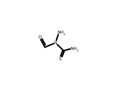 NC(=S)N(N)C=O